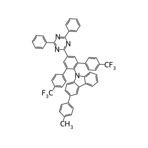 Cc1ccc(-c2ccc3c(c2)c2ccccc2n3-c2c(-c3ccc(C(F)(F)F)cc3)cc(-c3nc(-c4ccccc4)nc(-c4ccccc4)n3)cc2-c2ccc(C(F)(F)F)cc2)cc1